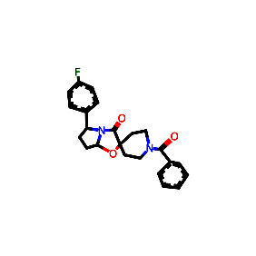 O=C(c1ccccc1)N1CCC2(CC1)OC1CCC(c3ccc(F)cc3)N1C2=O